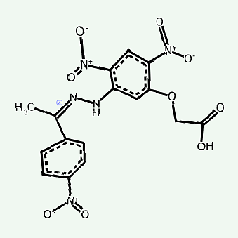 C/C(=N/Nc1cc(OCC(=O)O)c([N+](=O)[O-])cc1[N+](=O)[O-])c1ccc([N+](=O)[O-])cc1